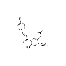 COc1cc(O)c(C(=O)/C=C/c2ccc(F)cc2)cc1CN(C)C